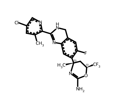 Cc1cc(Cl)cnc1C1=Nc2cc([C@]3(C)C[C@@H](C(F)(F)F)OC(N)=N3)c(F)cc2CN1